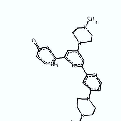 CN1CCN(c2ccnc(-c3cc(N4CCN(C)CC4)cc(-c4cc(=O)cc[nH]4)n3)c2)CC1